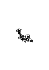 Cc1nc(-c2ccc(OCC(C)C)c(C#N)c2)sc1C(=O)N/N=C/c1ccc([N+](=O)[O-])o1